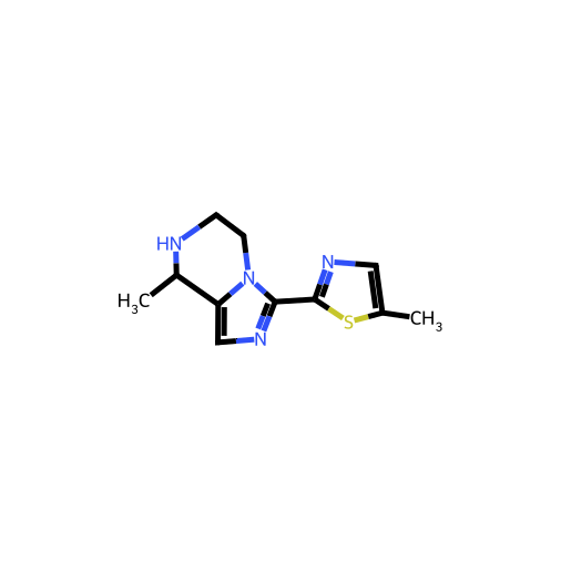 Cc1cnc(-c2ncc3n2CCNC3C)s1